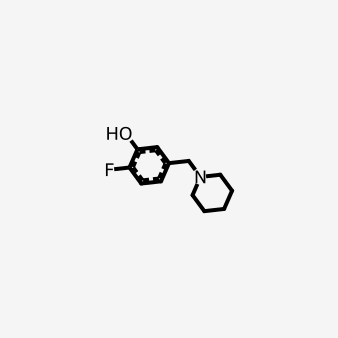 Oc1cc(CN2CCCCC2)ccc1F